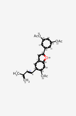 C=C(C)/C=C/c1cc2cc(-c3cc(OC(C)=O)cc(OC(C)=O)c3)oc2cc1OC(C)=O